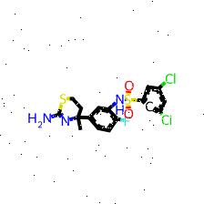 CC1(c2ccc(F)c(NS(=O)(=O)c3cc(Cl)cc(Cl)c3)c2)CCSC(N)=N1